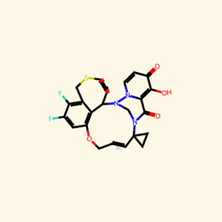 O=C1c2c(O)c(=O)ccn2N2CN1C1(/C=C/COc3cc(F)c(F)c4c3C2c2ccccc2SC4)CC1